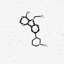 CN1CCCC(c2ccc3c(c2)c2ncnc(O)c2n3CC(F)(F)F)C1